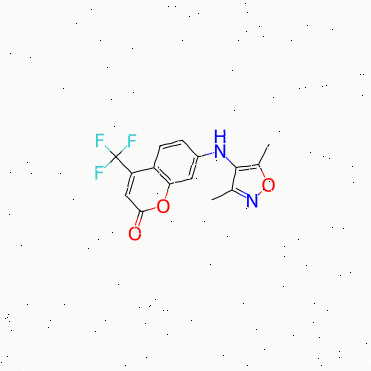 Cc1noc(C)c1Nc1ccc2c(C(F)(F)F)cc(=O)oc2c1